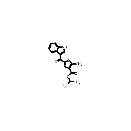 Cc1sc(C(=O)c2c[nH]c3ccccc23)nc1C(=O)OC(C)C